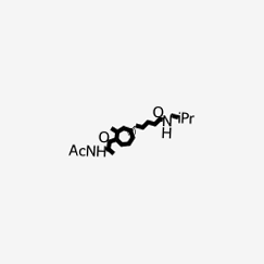 CC(=O)NC(C)C(=O)C1CCC[C@@H](CCCCC(=O)NCC(C)C)CC1C